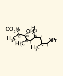 CC(C)CC(C)CC(C)CC(C)[C@@H](O)[C@@H](C)C(=O)O